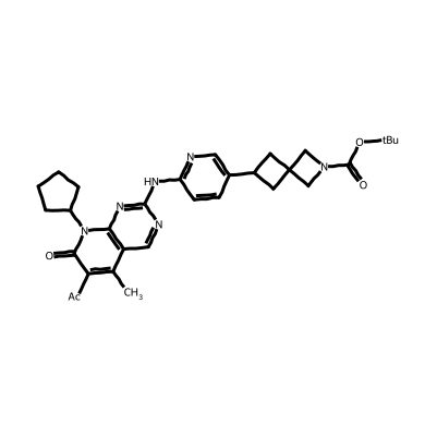 CC(=O)c1c(C)c2cnc(Nc3ccc(C4CC5(C4)CN(C(=O)OC(C)(C)C)C5)cn3)nc2n(C2CCCC2)c1=O